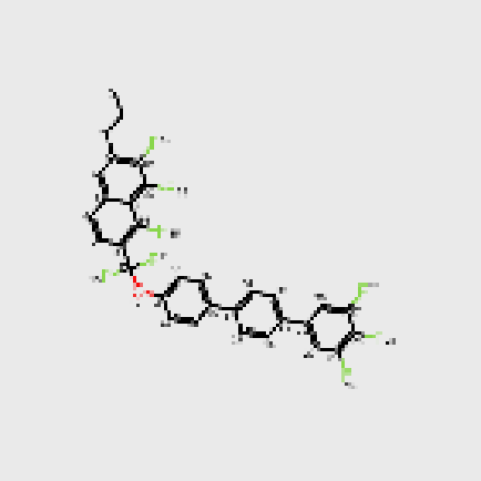 CCCc1cc2ccc(C(F)(F)Oc3ccc(-c4ccc(-c5cc(F)c(F)c(F)c5)cc4)cc3)c(F)c2c(F)c1F